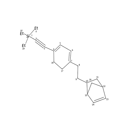 CC[Si](C#CC1=CC=C(CCC2CC3C=CC2C3)CC1)(CC)CC